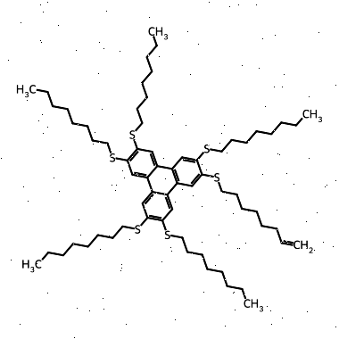 C=CCCCCCCSc1cc2c(cc1SCCCCCCCC)c1cc(SCCCCCCCC)c(SCCCCCCCC)cc1c1cc(SCCCCCCCC)c(SCCCCCCCC)cc21